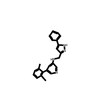 Cc1cccc(C)c1-c1cncc(NCc2cc(-c3ccccc3)[nH]n2)c1